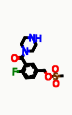 CS(=O)(=O)OCc1ccc(F)c(C(=O)N2CCNCC2)c1